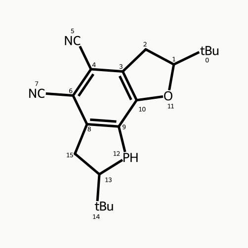 CC(C)(C)C1Cc2c(C#N)c(C#N)c3c(c2O1)PC(C(C)(C)C)C3